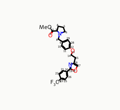 COC(=O)C1CCCN1Cc1ccc(OCCc2coc(-c3ccc(C(F)(F)F)cc3)n2)cc1